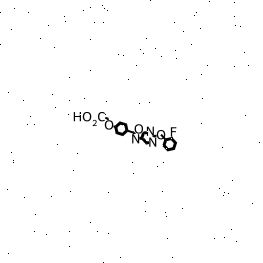 O=C(O)COc1ccc(-c2nc3cnc(Oc4ccccc4F)nc3o2)cc1